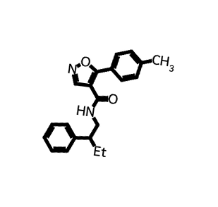 CCC(CNC(=O)c1cnoc1-c1ccc(C)cc1)c1ccccc1